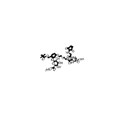 CC(C)(C)C(=O)OCc1ccc(OCCOCCNC(O)[C@H](CS(=O)(=O)O)NC(=O)CNC2C(=O)C=CC2=O)cc1O[C@@H]1O[C@H](C(=O)O)[C@@H](O)[C@H](O)[C@H]1O